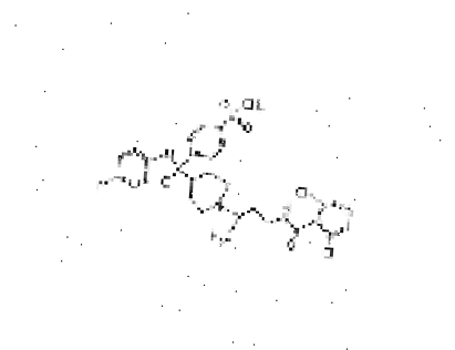 CC(CCNC(=O)c1c(Cl)cncc1Cl)N1CCC(C2(c3ccc(S(C)(=O)=O)cc3)Oc3ccc(F)cc3O2)CC1